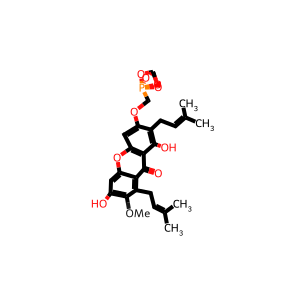 COc1c(O)cc2oc3cc(OCP456OC(O4)(O5)O6)c(CC=C(C)C)c(O)c3c(=O)c2c1CC=C(C)C